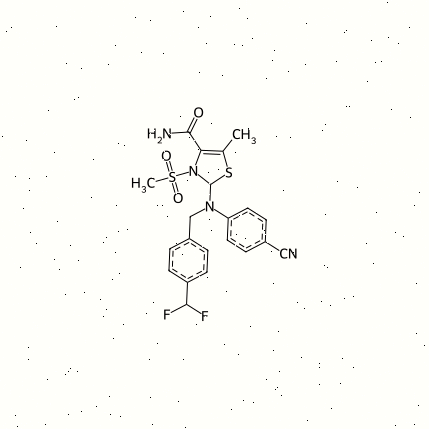 CC1=C(C(N)=O)N(S(C)(=O)=O)C(N(Cc2ccc(C(F)F)cc2)c2ccc(C#N)cc2)S1